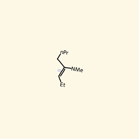 CC/C=C(/CCCC)NC